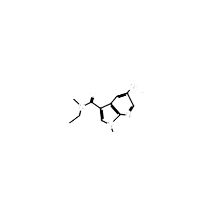 CCN(C)C(=O)c1cn(C)c2ncc(N)cc12